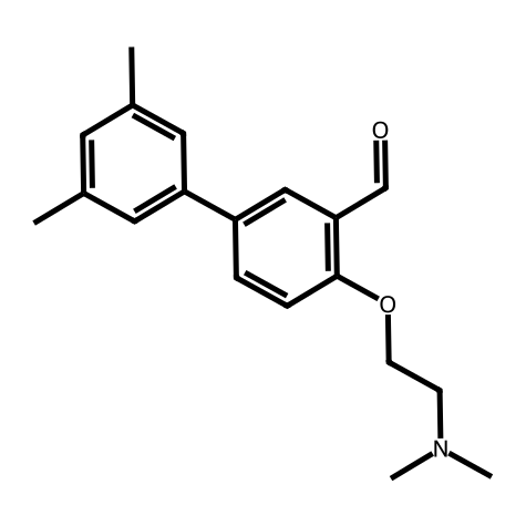 Cc1cc(C)cc(-c2ccc(OCCN(C)C)c(C=O)c2)c1